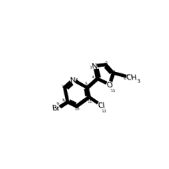 Cc1cnc(-c2ncc(Br)cc2Cl)o1